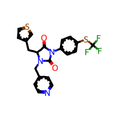 O=C1C(Cc2ccsc2)N(Cc2ccncc2)C(=O)N1c1ccc(SC(F)(F)F)cc1